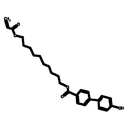 C=CC(=O)OCCCCCCCCCCOC(=O)c1ccc(-c2ccc(O)cc2)cc1